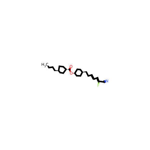 CCCC[C@H]1CC[C@H](C(=O)O[C@H]2CC[C@H](CCC=CC=C(F)C#N)CC2)CC1